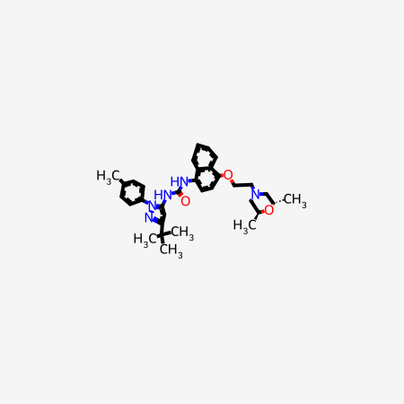 Cc1ccc(-n2nc(C(C)(C)C)cc2NC(=O)Nc2ccc(OCCN3C[C@H](C)O[C@@H](C)C3)c3ccccc23)cc1